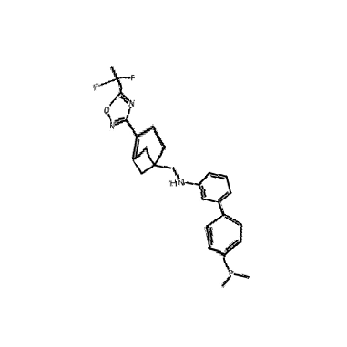 CP(C)c1ccc(-c2cccc(NCC34CCC(c5noc(C(C)(F)F)n5)=C(C3)C4)c2)cc1